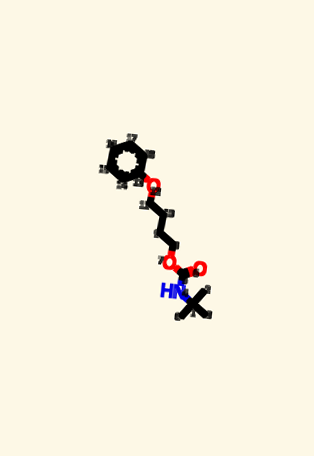 CC(C)(C)NC(=O)OCCCCOc1ccccc1